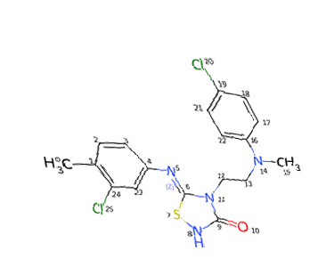 Cc1ccc(/N=c2\s[nH]c(=O)n2CCN(C)c2ccc(Cl)cc2)cc1Cl